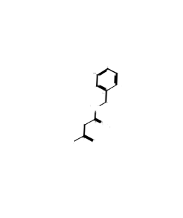 C=C(C)CC(=O)OCc1ccccc1